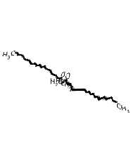 C=C.CCCCCCCCCCCCCCCCCC(=O)NC(=O)CCCCCCCCCCCCCCCCC